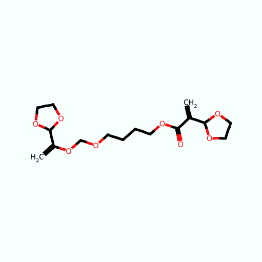 C=C(OCOCCCCOC(=O)C(=C)C1OCCO1)C1OCCO1